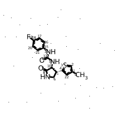 Cc1csc([C@@H]2CNC(=O)[C@H]2NC(=O)Nc2ccc(F)cc2)c1